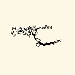 CCCCCCCCCCCCCCCC(=O)OCC(COP(=O)(O)OCC[N+](C)(C)C)OC(=O)CCCCC